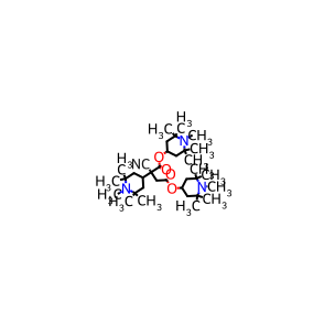 CN1C(C)(C)CC(OC(=O)CC(C#N)(C(=O)OC2CC(C)(C)N(C)C(C)(C)C2)C2CC(C)(C)N(C)C(C)(C)C2)CC1(C)C